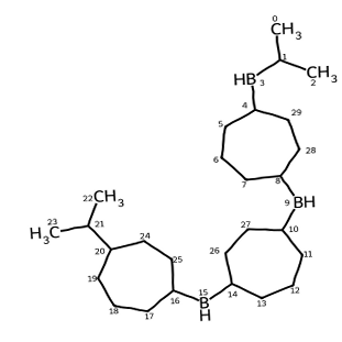 CC(C)BC1CCCC(BC2CCCC(BC3CCCC(C(C)C)CC3)CC2)CC1